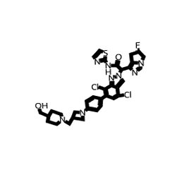 O=C(Nc1nccs1)C(c1ncn2c1C[C@@H](F)C2)n1cc2c(Cl)cc(-c3ccc(N4CC(CN5CCC(CO)CC5)C4)cc3)c(Cl)c2n1